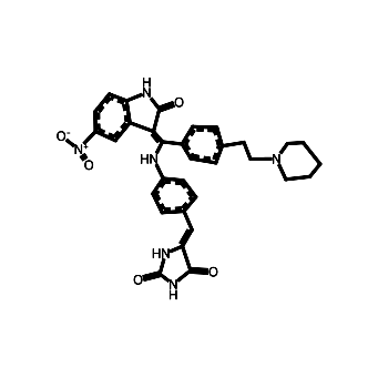 O=C1NC(=O)C(=Cc2ccc(NC(=C3C(=O)Nc4ccc([N+](=O)[O-])cc43)c3ccc(CCN4CCCCC4)cc3)cc2)N1